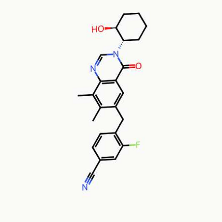 Cc1c(Cc2ccc(C#N)cc2F)cc2c(=O)n([C@H]3CCCC[C@@H]3O)cnc2c1C